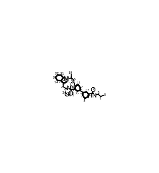 CCCNC(=O)c1cccc(-c2ccc(OCCC)c(C(=O)N[C@H](CO)Cc3c[nH]c4ccccc34)c2)c1